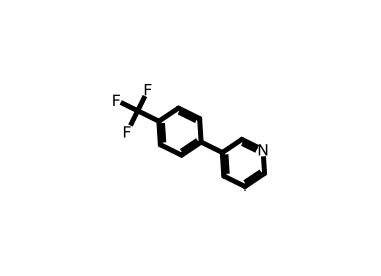 FC(F)(F)c1ccc(-c2c[c]cnc2)cc1